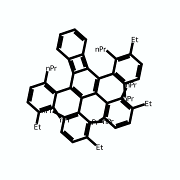 CCCc1ccc(CC)c(CCC)c1-c1c(-c2c(CCC)ccc(CC)c2CCC)c(-c2c(CCC)ccc(CC)c2CCC)c2c(c1-c1c(CCC)ccc(CC)c1CCC)=c1ccccc1=2